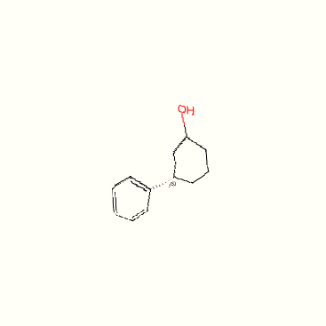 OC1CCC[C@H](c2ccccc2)C1